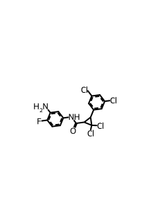 Nc1cc(NC(=O)C2C(c3cc(Cl)cc(Cl)c3)C2(Cl)Cl)ccc1F